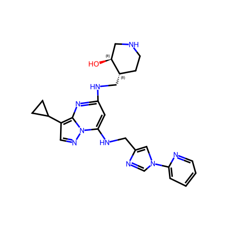 O[C@H]1CNCC[C@@H]1CNc1cc(NCc2cn(-c3ccccn3)cn2)n2ncc(C3CC3)c2n1